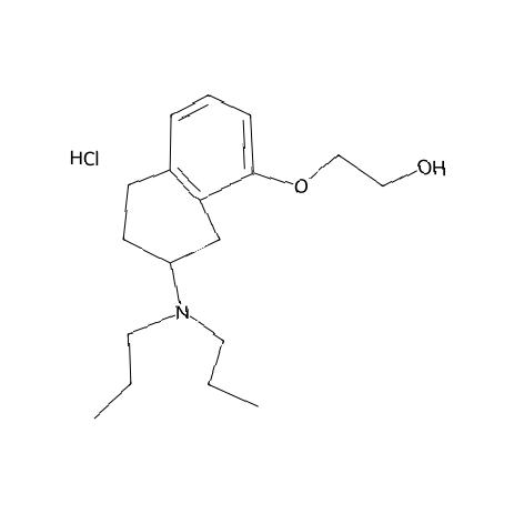 CCCN(CCC)C1CCc2cccc(OCCO)c2C1.Cl